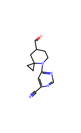 N#Cc1cc(N2CCC(C=O)CC23CC3)ncn1